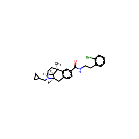 C[C@@H]1[C@H]2Cc3ccc(C(=O)NCCc4ccccc4Br)cc3[C@]1(C)CCN2CC1CC1